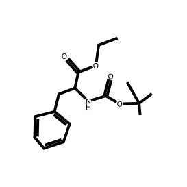 CCOC(=O)C(Cc1ccccc1)NC(=O)OC(C)(C)C